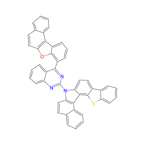 c1ccc2c(c1)ccc1oc3c(-c4nc(-n5c6ccc7ccccc7c6c6c7sc8ccccc8c7ccc65)nc5ccccc45)cccc3c12